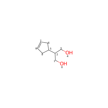 OCC(CO)C1CC=CC1